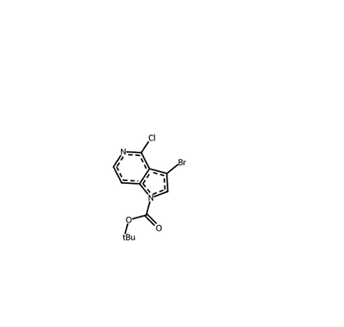 CC(C)(C)OC(=O)n1cc(Br)c2c(Cl)nccc21